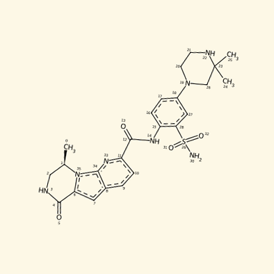 C[C@@H]1CNC(=O)c2cc3ccc(C(=O)Nc4ccc(N5CCNC(C)(C)C5)cc4S(N)(=O)=O)nc3n21